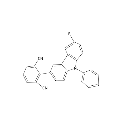 N#Cc1cccc(C#N)c1-c1ccc2c(c1)c1cc(F)ccc1n2-c1ccccc1